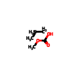 COC(=O)O.C[SiH2]C